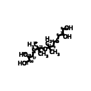 CC(C)(CCSCC(O)CO)OCC(C)(C)SCC(O)CO